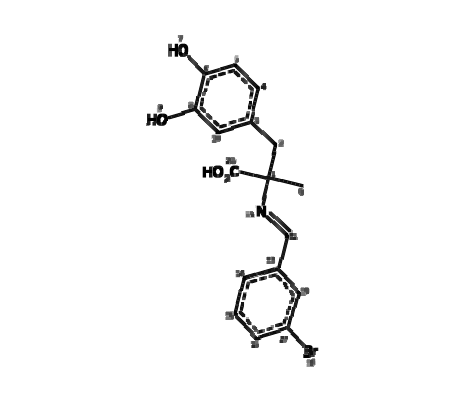 CC(Cc1ccc(O)c(O)c1)(/N=C/c1cccc(Br)c1)C(=O)O